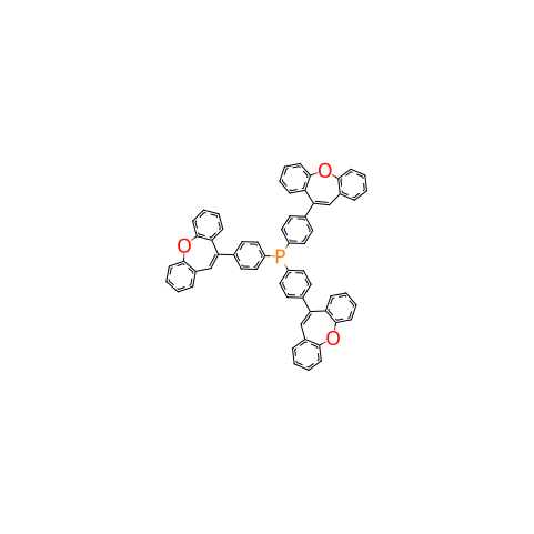 C1=C(c2ccc(P(c3ccc(C4=Cc5ccccc5Oc5ccccc54)cc3)c3ccc(C4=Cc5ccccc5Oc5ccccc54)cc3)cc2)c2ccccc2Oc2ccccc21